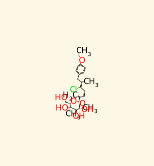 C=C(/C=C\C(Cl)=C(/C)Cc1ccc(OCC)cc1)[C@]1(OC)O[C@H](CO)[C@](C)(O)[C@H](O)[C@H]1O